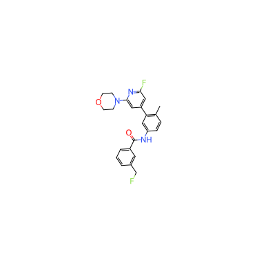 Cc1ccc(NC(=O)c2cccc(CF)c2)cc1-c1cc(F)nc(N2CCOCC2)c1